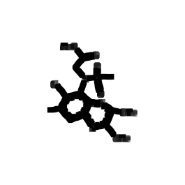 COC(=O)CN(c1c(Cl)c(C)cc2nc(OC)c(OC)nc12)S(C)(=O)=O